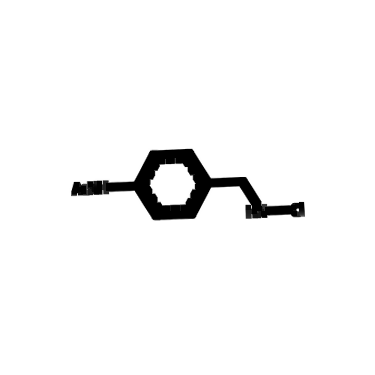 CC(=O)Nc1ccc(CNCl)cc1